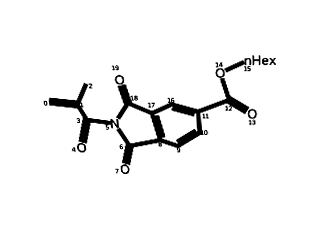 C=C(C)C(=O)N1C(=O)c2ccc(C(=O)OCCCCCC)cc2C1=O